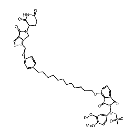 CCOc1cc([C@@H](CS(C)(=O)=O)N2C(=O)c3cccc(OCCCCCCCCCCCCc4ccc(OCc5scc6c5CN(C5CCC(=O)NC5=O)C6=O)cc4)c3C2=O)ccc1OC